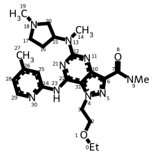 CCOCCn1nc(C(=O)NC)c2nc(N(C)C3CCN(C)C3)nc(Nc3cc(C)ccn3)c21